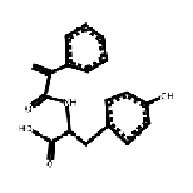 C=C(C(=O)NC(Cc1ccc(O)cc1)C(=O)O)c1ccccc1